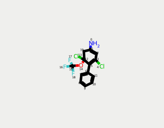 NC1=CC(Cl)=C(c2ccccc2)C(Cl)(OC(F)(F)F)C1